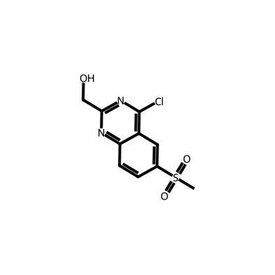 CS(=O)(=O)c1ccc2nc(CO)nc(Cl)c2c1